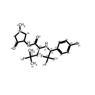 CN1CC(=O)C(NC(=O)[C@H](CC(C)(C)F)N[C@@H](c2ccc(Br)cc2)C(F)(F)F)C1